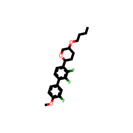 CCCCOC1CCC(c2ccc(-c3ccc(OC)c(F)c3)c(F)c2F)OC1